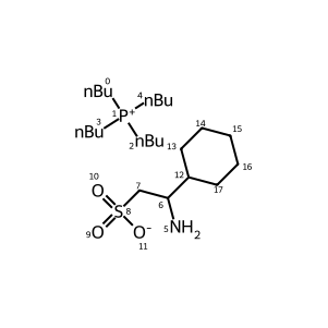 CCCC[P+](CCCC)(CCCC)CCCC.NC(CS(=O)(=O)[O-])C1CCCCC1